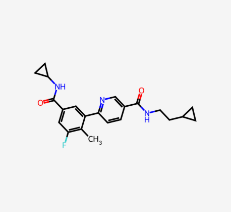 Cc1c(F)cc(C(=O)NC2CC2)cc1-c1ccc(C(=O)NCCC2CC2)cn1